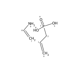 C=CCP(=O)(O)O.C=CN